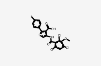 COc1c(Cl)cc(Cl)c(C(=O)Nc2csc(-c3ccc(I)cc3)c2C(=O)O)c1Cl